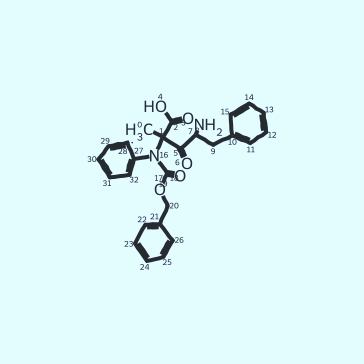 CC(C(=O)O)(C(=O)C(N)Cc1ccccc1)N(C(=O)OCc1ccccc1)c1[c]cccc1